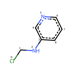 ClCNc1[c]nccc1